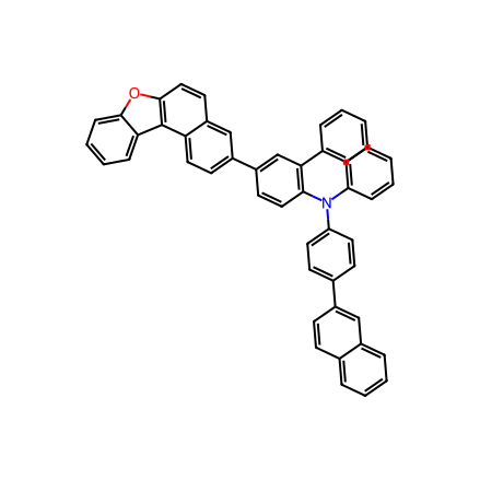 c1ccc(-c2cc(-c3ccc4c(ccc5oc6ccccc6c54)c3)ccc2N(c2ccccc2)c2ccc(-c3ccc4ccccc4c3)cc2)cc1